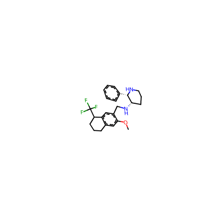 COc1cc2c(cc1CN[C@H]1CCCN[C@H]1c1ccccc1)C(C(F)(F)F)CCC2